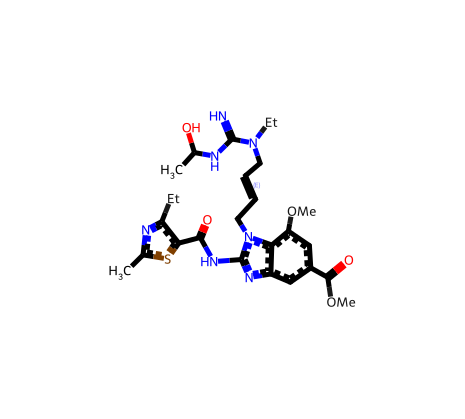 CCc1nc(C)sc1C(=O)Nc1nc2cc(C(=O)OC)cc(OC)c2n1C/C=C/CN(CC)C(=N)NC(C)O